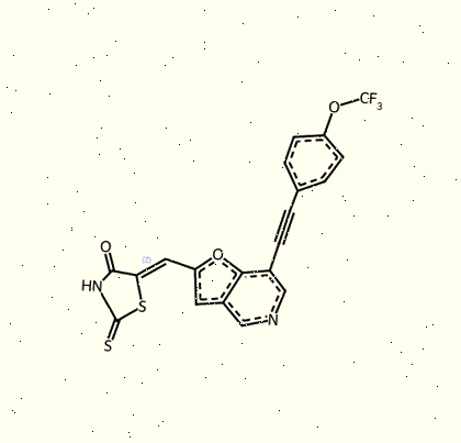 O=C1NC(=S)S/C1=C\c1cc2cncc(C#Cc3ccc(OC(F)(F)F)cc3)c2o1